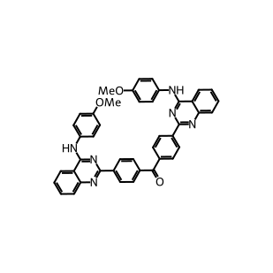 COc1ccc(Nc2nc(-c3ccc(C(=O)c4ccc(-c5nc(Nc6ccc(OC)cc6)c6ccccc6n5)cc4)cc3)nc3ccccc23)cc1